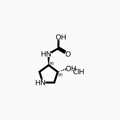 Cl.O=C(O)N[C@@H]1CNC[C@H]1O